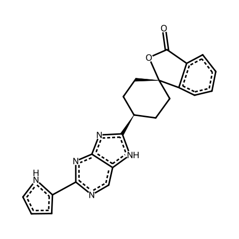 O=C1O[C@]2(CC[C@H](c3nc4nc(-c5ccc[nH]5)ncc4[nH]3)CC2)c2ccccc21